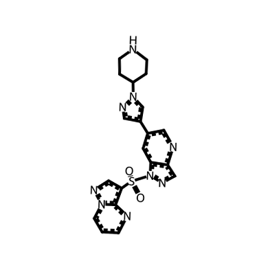 O=S(=O)(c1cnn2cccnc12)n1ncc2ncc(-c3cnn(C4CCNCC4)c3)cc21